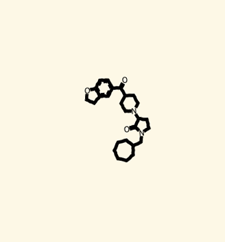 O=C(c1ccc2c(c1)CCO2)C1CCN(C2CCN(CC3CCCCCC3)C2=O)CC1